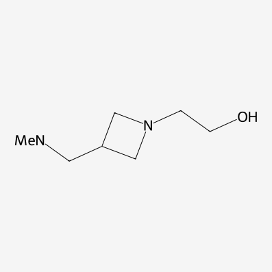 CNCC1CN(CCO)C1